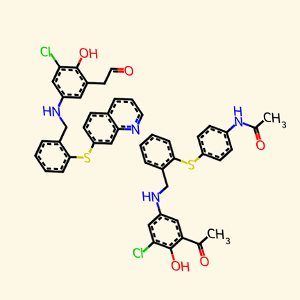 CC(=O)Nc1ccc(Sc2ccccc2CNc2cc(Cl)c(O)c(C(C)=O)c2)cc1.O=CCc1cc(NCc2ccccc2Sc2ccc3cccnc3c2)cc(Cl)c1O